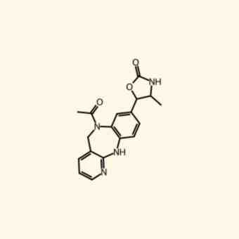 CC(=O)N1Cc2cccnc2Nc2ccc(C3OC(=O)NC3C)cc21